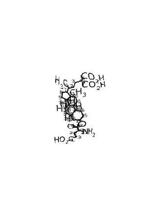 C[C@H](CCC(C(=O)O)C(=O)O)C1CC[C@H]2[C@@H]3CC[C@@H]4C[C@H](OC(=O)[C@@H](N)CCC(=O)O)CC[C@]4(C)[C@H]3CC[C@]12C